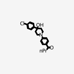 CCCC(=O)c1ccc(N2CCC(O)(c3ccc(Cl)cc3)CC2)cc1